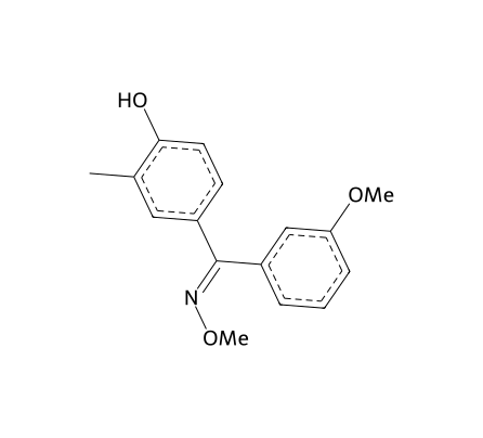 CO/N=C(\c1cccc(OC)c1)c1ccc(O)c(C)c1